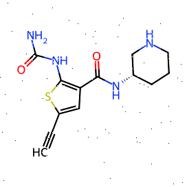 C#Cc1cc(C(=O)N[C@H]2CCCNC2)c(NC(N)=O)s1